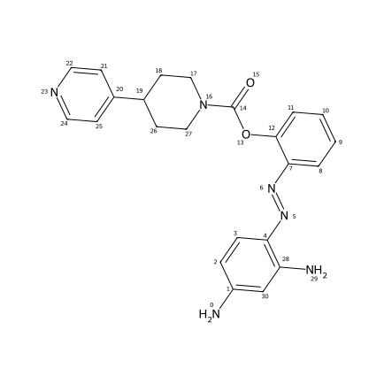 Nc1ccc(/N=N/c2ccccc2OC(=O)N2CCC(c3ccncc3)CC2)c(N)c1